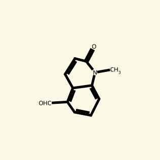 Cn1c(=O)ccc2c(C=O)cccc21